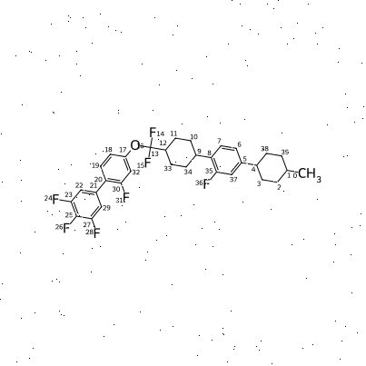 CC1CCC(c2ccc(C3CCC(C(F)(F)Oc4ccc(-c5cc(F)c(F)c(F)c5)c(F)c4)CC3)c(F)c2)CC1